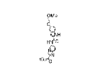 COCCOc1ccc2[nH]c(C(=O)Nc3ccc4nc(C(=O)C(C)(C)C)cn4c3)cc2c1